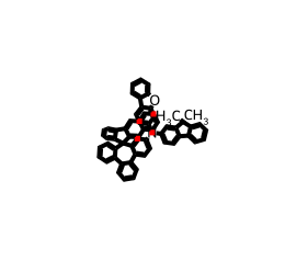 CC1(C)c2ccccc2-c2ccc(N(c3ccc4c(c3)C3(c5ccccc5-c5ccccc5-4)c4ccccc4-c4cc5ccccc5cc43)c3ccc4c(c3)oc3ccccc34)cc21